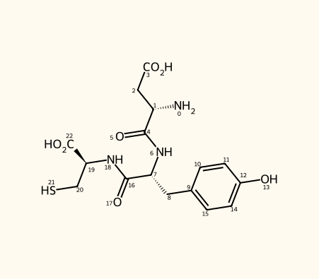 N[C@@H](CC(=O)O)C(=O)N[C@H](Cc1ccc(O)cc1)C(=O)N[C@@H](CS)C(=O)O